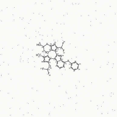 Cn1cc(-c2c3cccn(Cc4ccccc4)c-3nc2-c2c(C(F)F)nn3c2OCC(O)C3)c(OC(F)F)n1